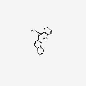 NC1=C(N2C(c3ccc4ccccc4c3)[C@H]2N)CCC=C1